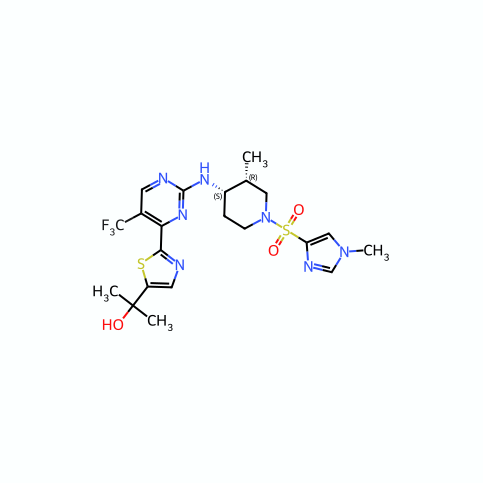 C[C@@H]1CN(S(=O)(=O)c2cn(C)cn2)CC[C@@H]1Nc1ncc(C(F)(F)F)c(-c2ncc(C(C)(C)O)s2)n1